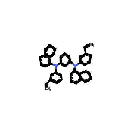 C=Cc1cccc(N(c2cccc(N(c3cccc(C=C)c3)c3cccc4ccccc34)c2)c2cccc3ccccc23)c1